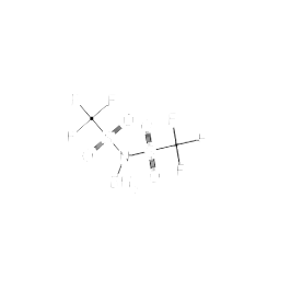 BN(S(=O)(=O)C(F)(F)F)S(=O)(=O)C(F)(F)F